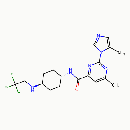 Cc1cc(C(=O)N[C@H]2CC[C@H](NCC(F)(F)F)CC2)nc(-n2cncc2C)n1